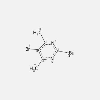 Cc1nc(C(C)(C)C)nc(C)c1Br